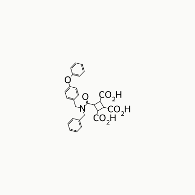 O=C(O)C1C(C(=O)O)C(C(=O)N(Cc2ccccc2)Cc2ccc(Oc3ccccc3)cc2)C1C(=O)O